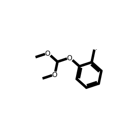 [CH2]c1ccccc1OC(OC)OC